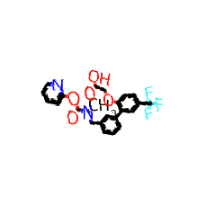 CN(Cc1cccc(-c2cc(C(F)(F)F)ccc2OCC(=O)O)c1)C(=O)Oc1ccccn1